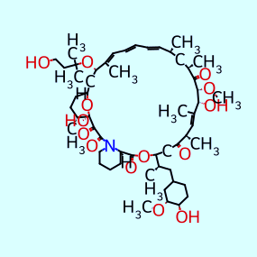 CO[C@@H]1CC(C[C@@H](C)C2CC(=O)[C@H](C)/C=C(\C)[C@@H](O)[C@@H](OC)C(=O)[C@H](C)C[C@H](C)/C=C/C=C/C=C(\C)[C@@H](OC(C)(C)CCO)C[C@@H]3CC[C@@H](C)[C@@](O)(O3)C(=O)C(=O)N3CCCC[C@H]3C(=O)O2)CC[C@H]1O